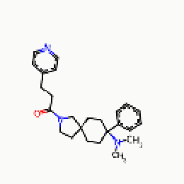 CN(C)[C@]1(c2ccccc2)CC[C@]2(CCN(C(=O)CCc3ccncc3)C2)CC1